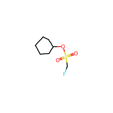 O=S(=O)(CF)OC1CCCCC1